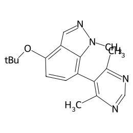 Cc1ncnc(C)c1-c1ccc(OC(C)(C)C)c2cnn(C)c12